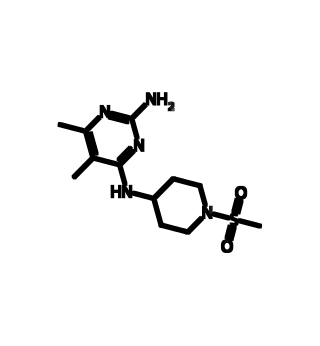 Cc1nc(N)nc(NC2CCN(S(C)(=O)=O)CC2)c1C